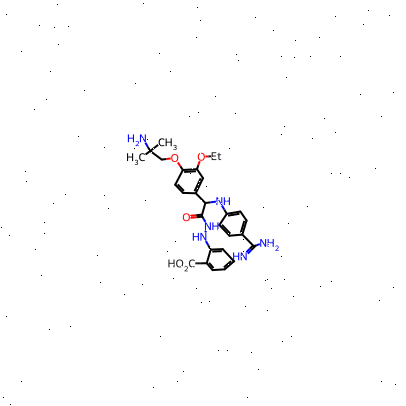 CCOc1cc(C(Nc2ccc(C(=N)N)cc2)C(=O)NNc2ccccc2C(=O)O)ccc1OCC(C)(C)N